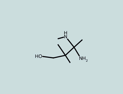 CNC(C)(N)C(C)(C)CO